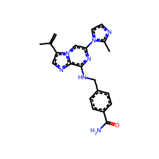 C=C(C)c1cnc2c(NCc3ccc(C(N)=O)cc3)nc(-n3ccnc3C)cn12